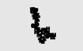 CCNC(=O)Nc1cc2c(-c3ccncc3)ccc(CNC(=O)OCCN3CCN(C(=O)OC(C)(C)C)CC3)c2cn1